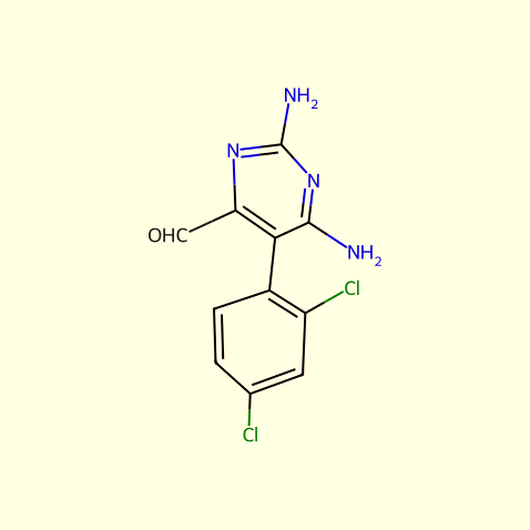 Nc1nc(N)c(-c2ccc(Cl)cc2Cl)c(C=O)n1